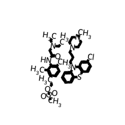 CCN(CC)CC(=O)Nc1c(C)cccc1C.CCOS(C)(=O)=O.CN1CCN(CCCN2c3ccccc3Sc3ccc(Cl)cc32)CC1